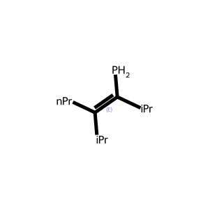 CCC/C(=C(\P)C(C)C)C(C)C